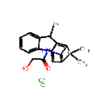 C[Si]1(C)c2cc3c(c1c2NC(=O)CO)[CH]([Zr+2])c1ccccc1-3.[Cl-].[Cl-]